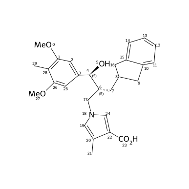 COc1cc([C@@H](O)[C@H](CC2Cc3ccccc3C2)Cn2cc(C)c(C(=O)O)c2)cc(OC)c1C